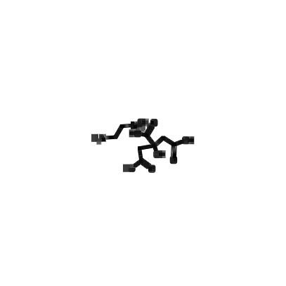 C.NCCN.O=C(O)CC(O)(CC(=O)O)C(=O)O